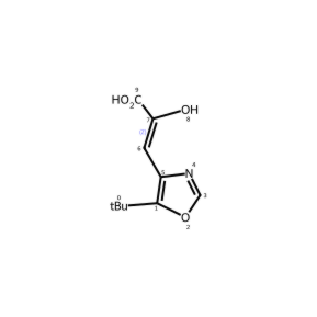 CC(C)(C)c1ocnc1/C=C(\O)C(=O)O